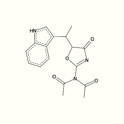 CC(=O)N(C(C)=O)C1=NC(=O)C(C(C)c2c[nH]c3ccccc23)O1